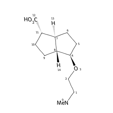 CNCCO[C@@H]1CC[C@H]2[C@H]1CC[C@@H]2C(=O)O